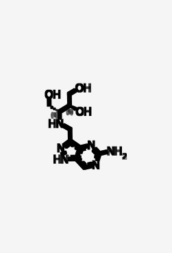 Nc1ncc2[nH]nc(CN[C@H](CO)[C@H](O)CO)c2n1